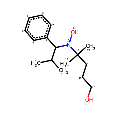 CC(C)C(c1ccccc1)N(O)C(C)(C)CCCO